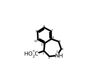 O=C(O)C1CNCCc2ccccc21